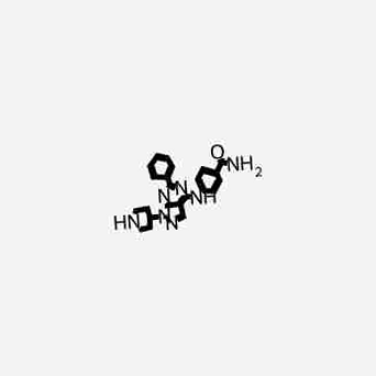 NC(=O)c1ccc(Nc2nc(-c3ccccc3)nc3c2cnn3C2CCNCC2)cc1